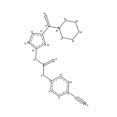 N#Cc1ccc(CC(=O)Cc2ncc(C(=O)N3CCCCC3)s2)cc1